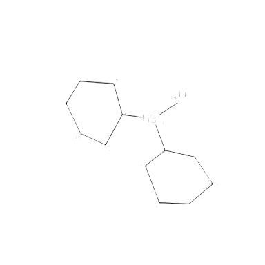 C[BH-](C1CCCCC1)C1CCCCC1.[Li+]